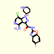 Nc1ncc(Cl)c2c1c(C(=O)Nc1nc3cc(I)ccc3o1)nn2[C@@H]1CCCNC1